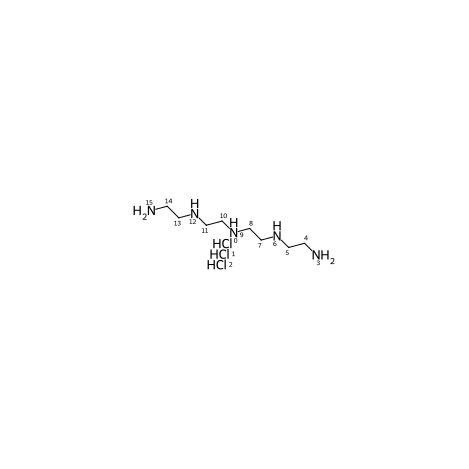 Cl.Cl.Cl.NCCNCCNCCNCCN